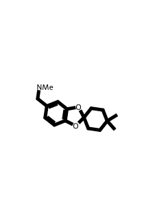 CNCc1ccc2c(c1)OC1(CCC(C)(C)CC1)O2